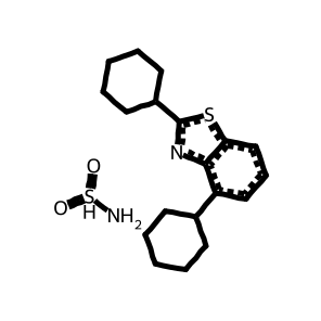 N[SH](=O)=O.c1cc(C2CCCCC2)c2nc(C3CCCCC3)sc2c1